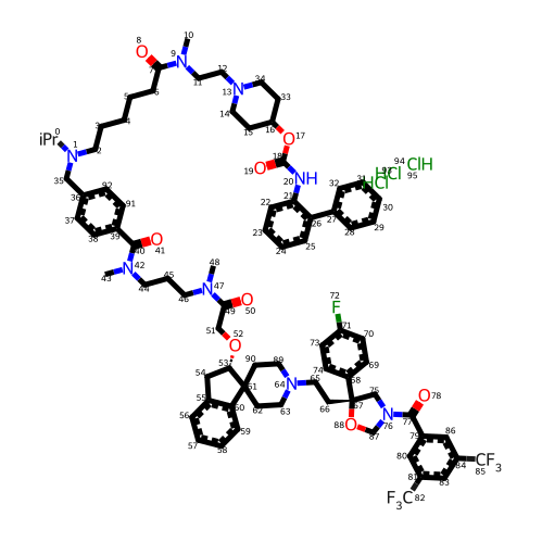 CC(C)N(CCCCCC(=O)N(C)CCN1CCC(OC(=O)Nc2ccccc2-c2ccccc2)CC1)Cc1ccc(C(=O)N(C)CCCN(C)C(=O)CO[C@H]2Cc3ccccc3C23CCN(CC[C@@]2(c4ccc(F)cc4)CN(C(=O)c4cc(C(F)(F)F)cc(C(F)(F)F)c4)CO2)CC3)cc1.Cl.Cl.Cl